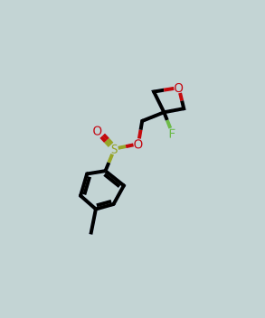 Cc1ccc(S(=O)OCC2(F)COC2)cc1